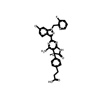 C[C@]1(c2ccc(CCC(=O)O)cc2)C(=O)Nc2nc(-c3nn(Cc4ncccc4F)c4cc(Cl)ccc34)nc(N)c21